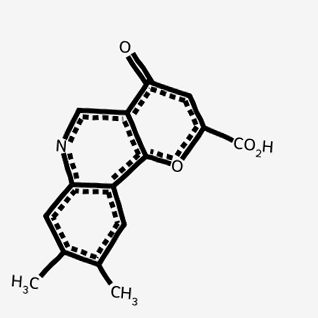 Cc1cc2ncc3c(=O)cc(C(=O)O)oc3c2cc1C